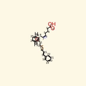 O=C(O)CCC/C=C\C[C@@H]1[C@H](CCSCC=Cc2ccccc2)[C@@H]2CC[C@H]1O2